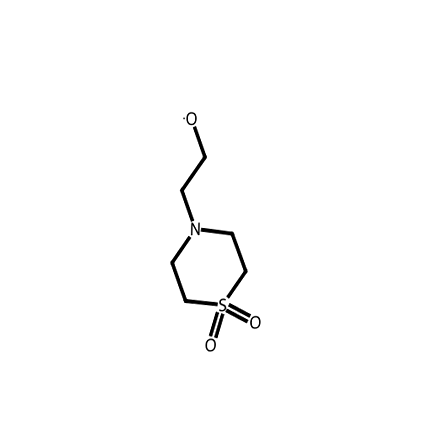 [O]CCN1CCS(=O)(=O)CC1